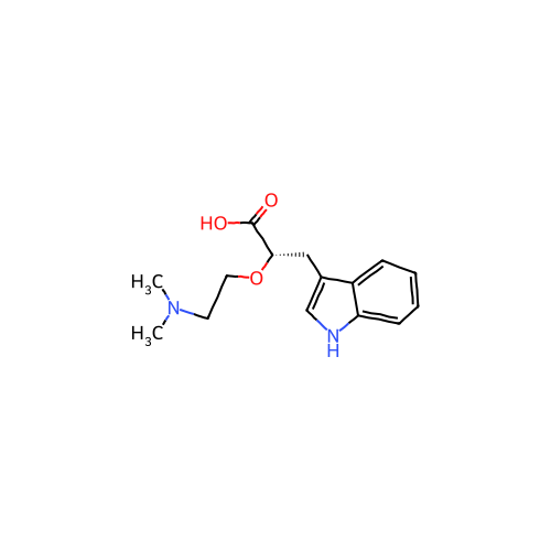 CN(C)CCO[C@@H](Cc1c[nH]c2ccccc12)C(=O)O